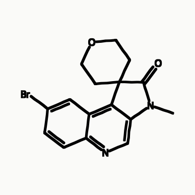 CN1C(=O)C2(CCOCC2)c2c1cnc1ccc(Br)cc21